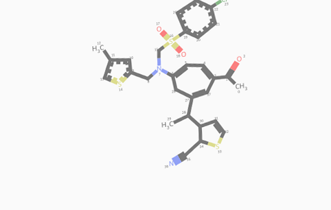 CC(=O)C1=CC=C(N(Cc2cc(C)cs2)CS(=O)(=O)c2ccc(Cl)cc2)CC(C(C)C2C=CSC2C#N)=C1